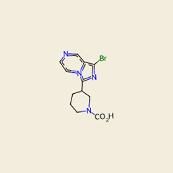 O=C(O)N1CCCC(c2nc(Br)c3cnccn23)C1